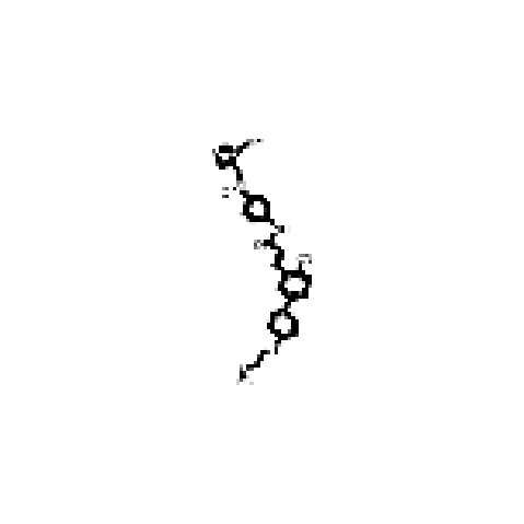 CCCCOCCOc1ccc(-c2ccc(C#N)c(/C=C/C(=O)Nc3ccc([S@+]([O-])Cc4cncn4CCC)cc3)c2)cc1